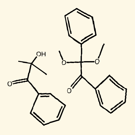 CC(C)(O)C(=O)c1ccccc1.COC(OC)(C(=O)c1ccccc1)c1ccccc1